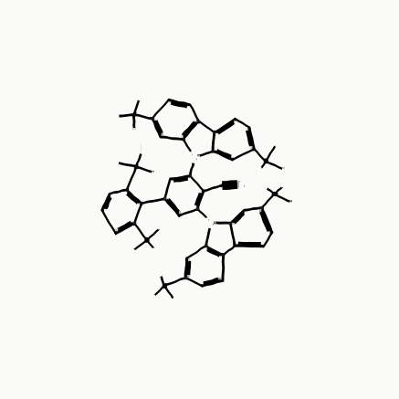 N#Cc1c(-n2c3cc(C(F)(F)F)ccc3c3ccc(C(F)(F)F)cc32)cc(-c2c(C(F)(F)F)cccc2C(F)(F)F)cc1-n1c2cc(C(F)(F)F)ccc2c2ccc(C(F)(F)F)cc21